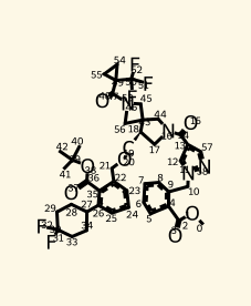 COC(=O)c1ccccc1Cn1cc(C(=O)N2C[C@@H](COCc3cccc(C4CCC(F)(F)CC4)c3C(=O)OC(C)(C)C)C3(C2)CN(C(=O)C2(C(F)(F)F)CC2)C3)cn1